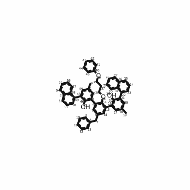 Cc1cc(-c2cc(Cc3ccccc3)cc(-c3cc(C)cc(-c4cccc5ccccc45)c3O)c2OCCCOc2ccccc2)c(O)c(-c2cccc3ccccc23)c1